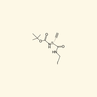 C#C[C@@H](NC(=O)OC(C)(C)C)C(=O)NCI